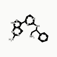 NCC(Nc1nccc(-c2n[nH]c3nc(N)ncc23)n1)c1ccccc1